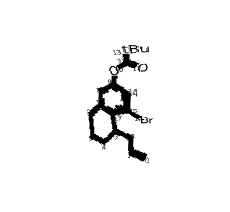 C=CCC1CCCc2cc(OC(=O)C(C)(C)C)cc(Br)c21